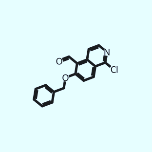 O=Cc1c(OCc2ccccc2)ccc2c(Cl)nccc12